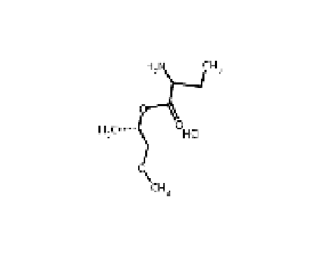 CCC(N)C(=O)O[C@@H](C)COC.Cl